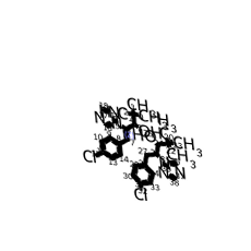 CC(C)(C)C(O)/C(=C/c1ccc(Cl)cc1)n1cncn1.CC(C)(C)C(O)C(Cc1ccc(Cl)cc1)n1cncn1